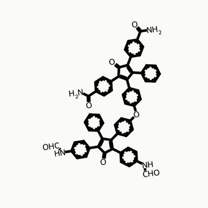 NC(=O)c1ccc(C2=C(c3ccccc3)C(c3ccc(Oc4ccc(C5=C(c6ccc(NC=O)cc6)C(=O)C(c6ccc(NC=O)cc6)=C5c5ccccc5)cc4)cc3)=C(c3ccc(C(N)=O)cc3)C2=O)cc1